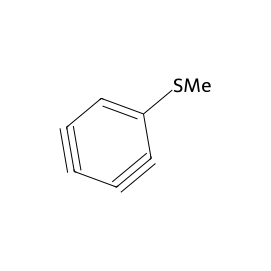 CSc1c#cc#cc1